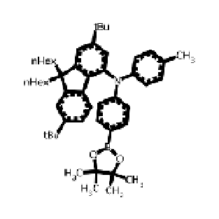 CCCCCCC1(CCCCCC)c2cc(C(C)(C)C)ccc2-c2c(N(c3ccc(C)cc3)c3ccc(B4OC(C)(C)C(C)(C)O4)cc3)cc(C(C)(C)C)cc21